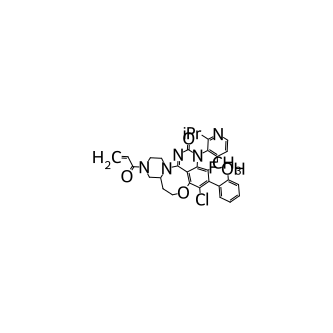 C=CC(=O)N1CCN2c3nc(=O)n(-c4c(C)ccnc4C(C)C)c4c(F)c(-c5ccccc5O)c(Cl)c(c34)OCCC2C1